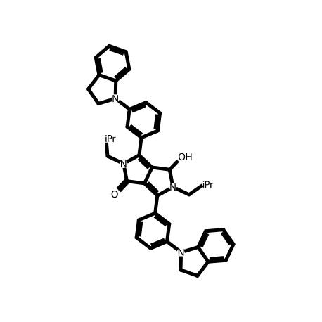 CC(C)CN1C(=O)C2=C(c3cccc(N4CCc5ccccc54)c3)N(CC(C)C)C(O)C2=C1c1cccc(N2CCc3ccccc32)c1